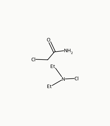 CCN(Cl)CC.NC(=O)CCl